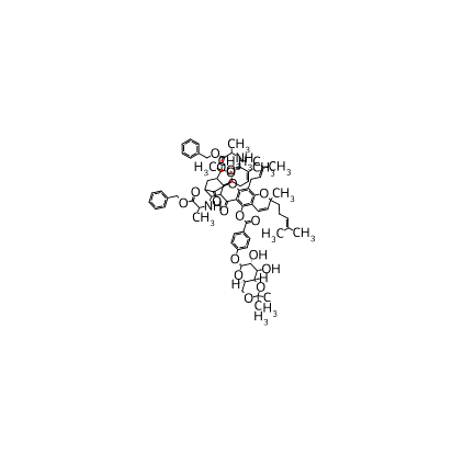 CC(C)=CCCC1(C)C=Cc2c(c(CC=C(C)C)c3c(c2OC(=O)c2ccc(O[C@@H]4O[C@@H]5COC(C)(C)O[C@H]5[C@H](O)[C@H]4O)cc2)C(=O)C2C(NC(C)C(=O)OCc4ccccc4)C4CC5C(C)(C)OC(C/C=C(/C)C(=O)NC(C)C(=O)OCc6ccccc6)(C4=O)C25O3)O1